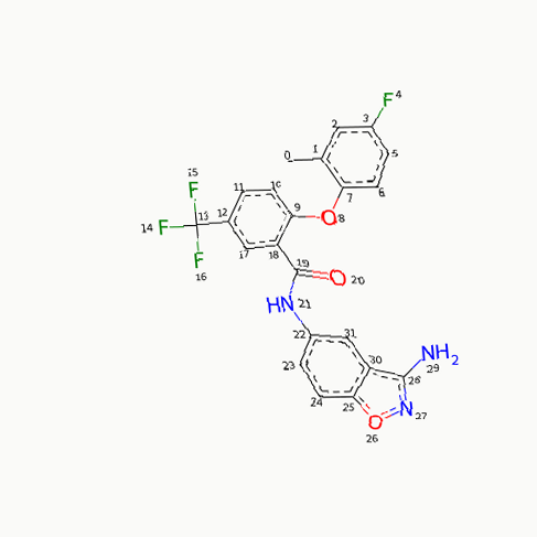 Cc1cc(F)ccc1Oc1ccc(C(F)(F)F)cc1C(=O)Nc1ccc2onc(N)c2c1